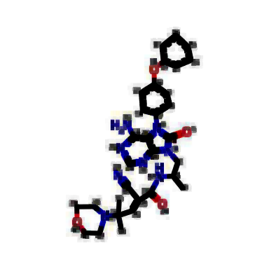 CC(Cn1c(=O)n(-c2ccc(Oc3ccccc3)cc2)c2c(N)ncnc21)NC(=O)C(C#N)=CC(C)(C)N1CCOCC1